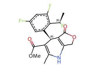 COC(=O)C1=C(C)NC2=C(C(=O)OC2)[C@@H]1c1cc(F)cc(F)c1[C@@H](C)F